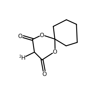 [2H]C1C(=O)OC2(CCCCC2)OC1=O